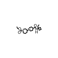 CCOC(=O)N1CCCC(N2CCC(C(=O)NC3(CC)CCC3)CC2)CC1